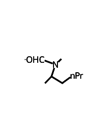 CCCCC(C)N(C)[C]=O